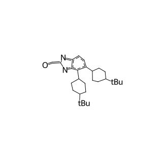 CC(C)(C)C1CCC(c2ccc3c(c2C2CCC(C(C)(C)C)CC2)=NC(=C=O)N=3)CC1